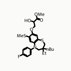 CCCCC1(CC)CSc2cc(OCC(O)C(=O)OC)c(SC)cc2N(c2ccc(F)cc2)C1